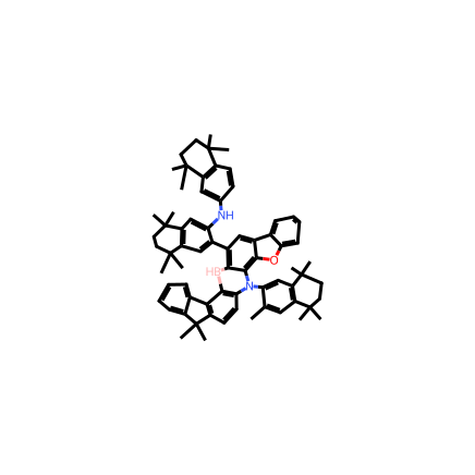 Cc1cc2c(cc1N1c3ccc4c(c3Bc3c(-c5cc6c(cc5Nc5ccc7c(c5)C(C)(C)CCC7(C)C)C(C)(C)CCC6(C)C)cc5c(oc6ccccc65)c31)-c1ccccc1C4(C)C)C(C)(C)CCC2(C)C